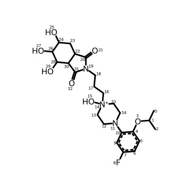 CC(C)Oc1ccc(F)cc1N1CC[N+](O)(CCCN2C(=O)C3CC(O)C(O)C(O)C3C2=O)CC1